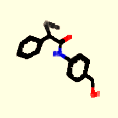 CNC(C(=O)Nc1ccc(CO)cc1)c1ccccc1